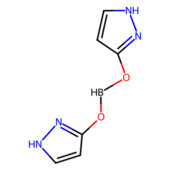 B(Oc1cc[nH]n1)Oc1cc[nH]n1